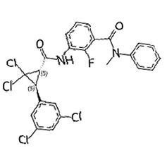 CN(C(=O)c1cccc(NC(=O)[C@@H]2[C@@H](c3cc(Cl)cc(Cl)c3)C2(Cl)Cl)c1F)c1ccccc1